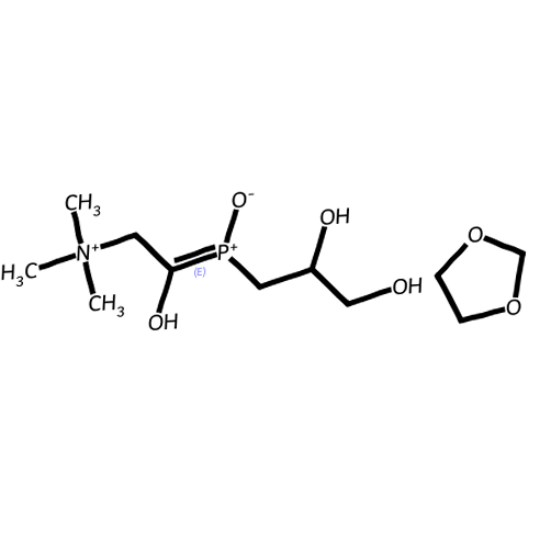 C1COCO1.C[N+](C)(C)C/C(O)=[P+](\[O-])CC(O)CO